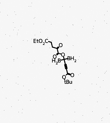 BC(B)(C#CC(=O)OC(C)(C)C)OC(=O)C(=O)CCC(=O)OCC